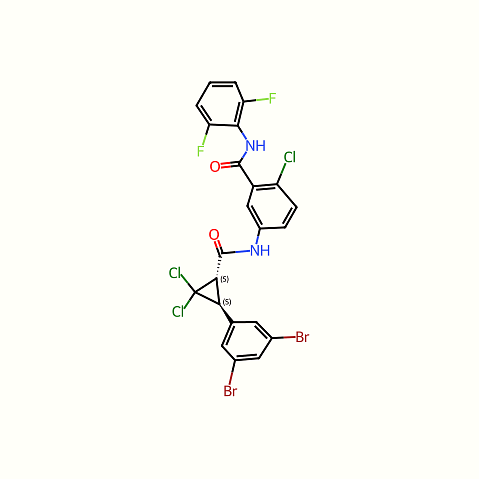 O=C(Nc1c(F)cccc1F)c1cc(NC(=O)[C@@H]2[C@@H](c3cc(Br)cc(Br)c3)C2(Cl)Cl)ccc1Cl